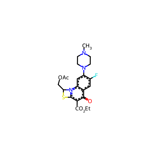 CCOC(=O)c1c2n(c3cc(N4CCN(C)CC4)c(F)cc3c1=O)C(COC(C)=O)S2